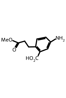 COC(=O)CCc1ccc(N)cc1C(=O)O